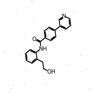 O=C(Nc1ccccc1CCO)c1ccc(-c2cccnc2)cc1